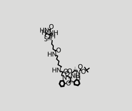 C[C@H](NC(=O)OC(C)(C)C)C(=O)N[C@@H]1C(=O)N(CC(=O)NCCCCCNC(=O)CCCC[C@@H]2SC[C@@H]3NC(=O)N[C@@H]32)c2ccccc2O[C@@H]1c1ccccc1